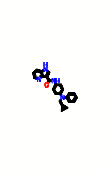 O=C(NC1CCC(N(CC2CC2)c2ccccc2)CC1)c1c[nH]c2cccnc12